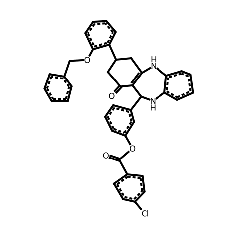 O=C1CC(c2ccccc2OCc2ccccc2)CC2=C1C(c1cccc(OC(=O)c3ccc(Cl)cc3)c1)Nc1ccccc1N2